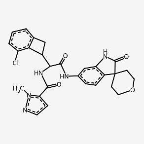 Cn1nccc1C(=O)NC(C(=O)Nc1ccc2c(c1)NC(=O)C21CCOCC1)C1Cc2cccc(Cl)c21